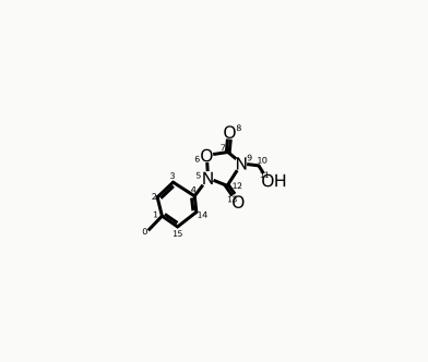 Cc1ccc(-n2oc(=O)n(CO)c2=O)cc1